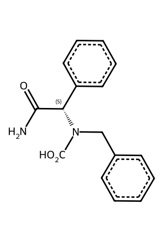 NC(=O)[C@H](c1ccccc1)N(Cc1ccccc1)C(=O)O